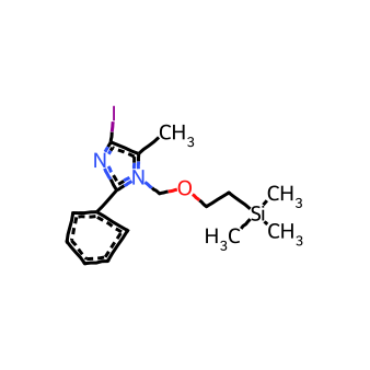 Cc1c(I)nc(-c2ccccc2)n1COCC[Si](C)(C)C